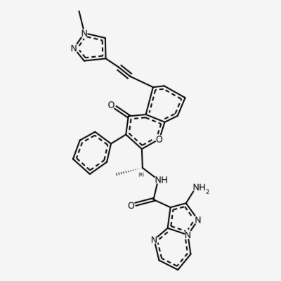 C[C@@H](NC(=O)c1c(N)nn2cccnc12)c1oc2cccc(C#Cc3cnn(C)c3)c2c(=O)c1-c1ccccc1